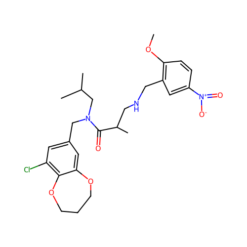 COc1ccc([N+](=O)[O-])cc1CNCC(C)C(=O)N(Cc1cc(Cl)c2c(c1)OCCCO2)CC(C)C